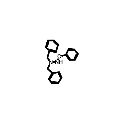 c1ccc(CN(Cc2ccccc2)NOc2ccccc2)cc1